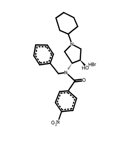 Br.O=C(c1ccc([N+](=O)[O-])cc1)N(Cc1ccccc1)[C@@H]1CN(C2CCCCC2)C[C@H]1O